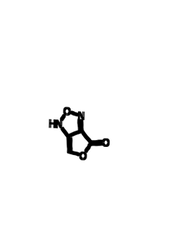 O=c1occ2[nH]onc1-2